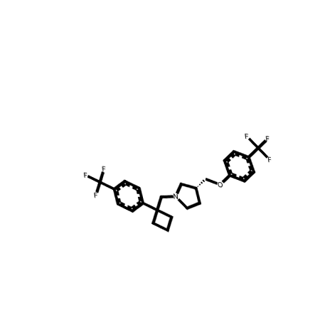 FC(F)(F)c1ccc(OC[C@@H]2CCN(CC3(c4ccc(C(F)(F)F)cc4)CCC3)C2)cc1